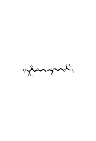 CC(C)OCCNC(=O)COCCOCC(=O)C(C)C